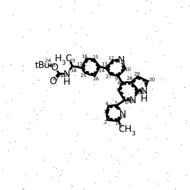 Cc1cccc(-c2cc(-c3cncc(-c4ccc(C(C)NC(=O)OC(C)(C)C)cc4)c3)c3cc[nH]c3n2)n1